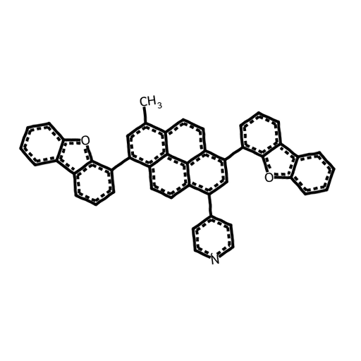 Cc1cc(-c2cccc3c2oc2ccccc23)c2ccc3c(-c4ccncc4)cc(-c4cccc5c4oc4ccccc45)c4ccc1c2c34